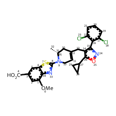 COc1cc(C(=O)O)cc2sc(N3CC=C(Cc4c(-c5c(Cl)cccc5Cl)noc4C4CC4)C[C@H]3C)nc12